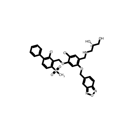 CS(=O)(=O)c1ccc(-c2ccccc2)c(Cl)c1COc1cc(OCc2ccc3nonc3c2)c(CNC[C@H](O)CO)cc1Cl